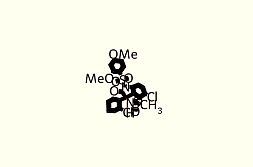 COc1ccc(S(=O)(=O)N2C(=O)C(NS(C)(=O)=O)(c3ccccc3Cl)c3cc(Cl)ccc32)c(OC)c1